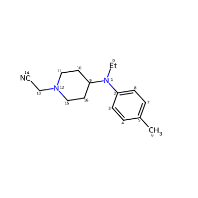 CCN(c1ccc(C)cc1)C1CCN(CC#N)CC1